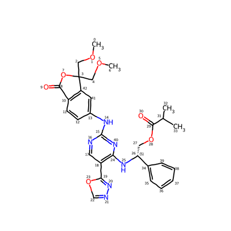 COCC1(COC)OC(=O)c2ccc(Nc3ncc(-c4nnco4)c(N[C@H](COC(=O)C(C)C)c4ccccc4)n3)cc21